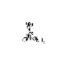 CS(=O)(=O)N1CCN(Cc2csc3c(-c4ccc(N)nc4)nc(N4C5CCCC4CC5)nc23)CC1